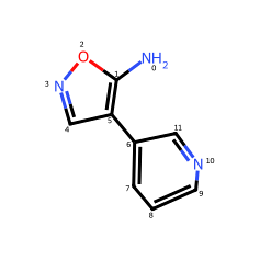 Nc1oncc1-c1cccnc1